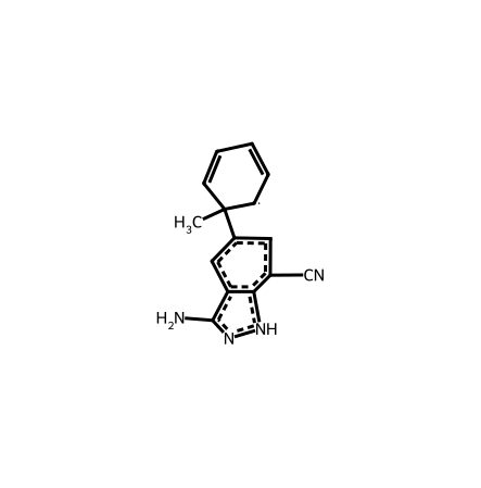 CC1(c2cc(C#N)c3[nH]nc(N)c3c2)[CH]C=CC=C1